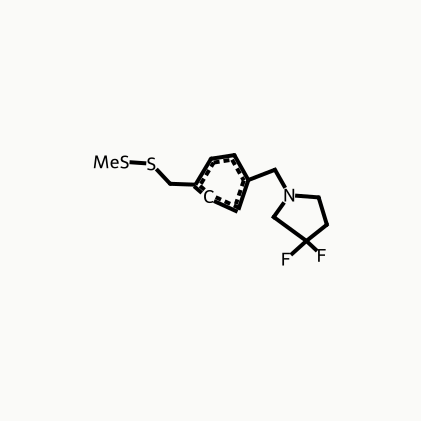 CSSCc1ccc(CN2CCC(F)(F)C2)cc1